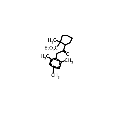 CCOC(=O)C1(C)CCCCC1C(=O)Cc1c(C)cc(C)cc1C